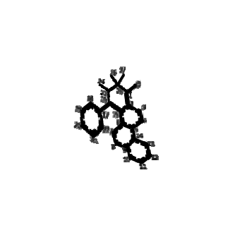 CC1=c2ccc3c(ccc4ccccc43)c2=C(c2ccccc2)C(C)C1(C)C